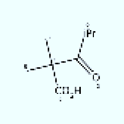 CC(C)C(=O)C(C)(C)C(=O)O